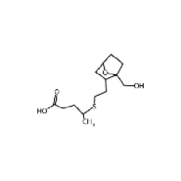 CC(CCC(=O)O)SCCC1CC2CCC1(CO)O2